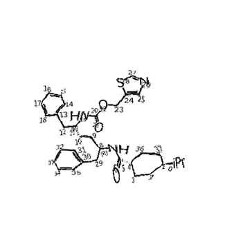 CC(C)[C@H]1CC[C@H](C(=O)N[C@H](CC[C@H](Cc2ccccc2)NC(=O)OCc2cncs2)Cc2ccccc2)CC1